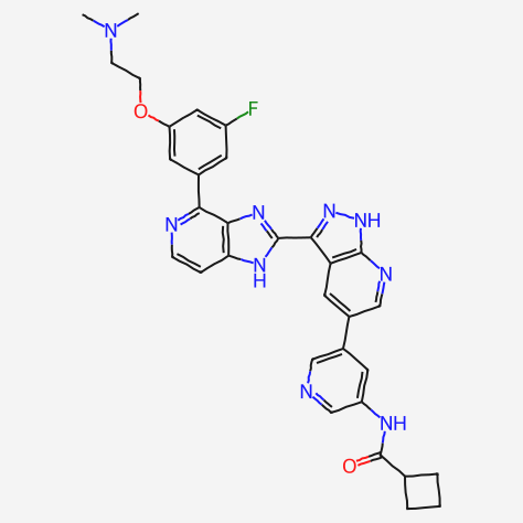 CN(C)CCOc1cc(F)cc(-c2nccc3[nH]c(-c4n[nH]c5ncc(-c6cncc(NC(=O)C7CCC7)c6)cc45)nc23)c1